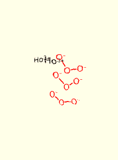 [Ho+3].[Ho+3].[O-]O[O-].[O-]O[O-].[O-]O[O-]